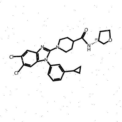 O=C(N[C@@H]1CCOC1)C1CCN(c2nc3cc(Cl)c(Cl)cc3n2-c2cccc(C3CC3)c2)CC1